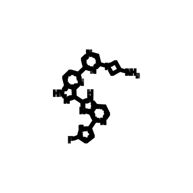 NC1CN(c2cncc(-c3ccc4[nH]nc(-c5nc6c(-c7ccc(F)s7)nccc6[nH]5)c4n3)n2)C1